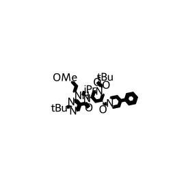 COCCCNc1nc(C(C)(C)C)ncc1C(=O)N(CC(C)C)[C@H]1C[C@@H](C(=O)N2CCC(c3ccccc3)CC2)CN(C(=O)OC(C)(C)C)C1